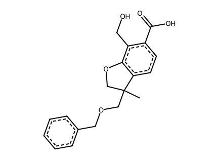 CC1(COCc2ccccc2)COc2c1ccc(C(=O)O)c2CO